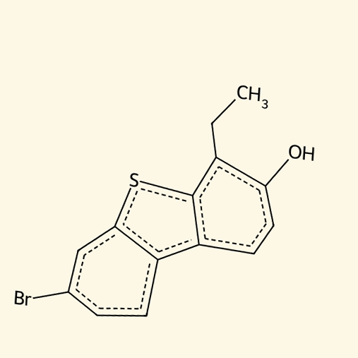 CCc1c(O)ccc2c1sc1cc(Br)ccc12